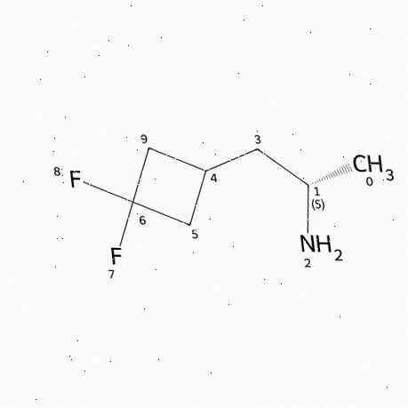 C[C@H](N)CC1CC(F)(F)C1